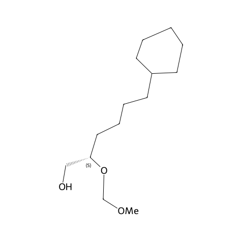 COCO[C@H](CO)CCCCC1CCCCC1